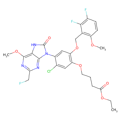 CCOC(=O)CCCOc1cc(Cl)c(-n2c(=O)[nH]c3c(OC)nc(CF)nc32)cc1OCc1c(OC)ccc(F)c1F